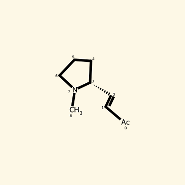 CC(=O)/C=C/[C@H]1CCCN1C